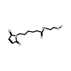 O=C(CCCCCN1C(=O)C=CC1=O)NCCOF